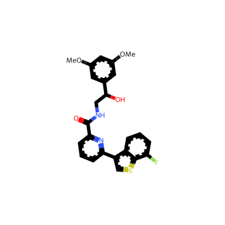 COc1cc(OC)cc(C(O)CNC(=O)c2cccc(-c3csc4c(F)cccc34)n2)c1